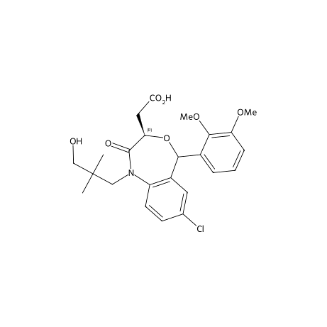 COc1cccc(C2O[C@H](CC(=O)O)C(=O)N(CC(C)(C)CO)c3ccc(Cl)cc32)c1OC